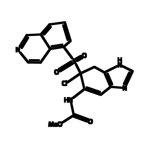 COC(=O)NC1=Cc2nc[nH]c2CC1(Cl)S(=O)(=O)c1cccc2cnccc12